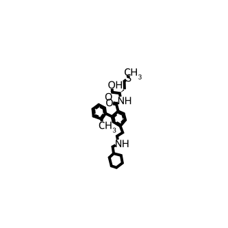 CSCC[C@H](NC(=O)c1ccc(CCNCC2CCCCC2)cc1-c1ccccc1C)C(=O)O